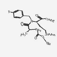 COC(=O)[C@@H](CCSC)N(Cc1ccc(F)cc1)C(=O)[C@H](C)NC(=O)OC(C)(C)C